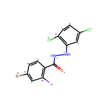 O=C(NNc1cc(Cl)ccc1Cl)c1ccc(Br)cc1I